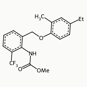 CCc1ccc(OCc2cccc(C(F)(F)F)c2NC(=O)OC)c(C)c1